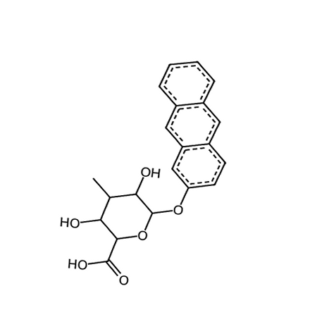 CC1C(O)C(Oc2ccc3cc4ccccc4cc3c2)OC(C(=O)O)C1O